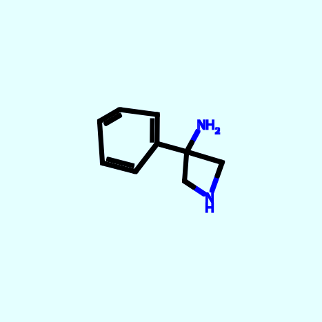 NC1(c2ccccc2)CNC1